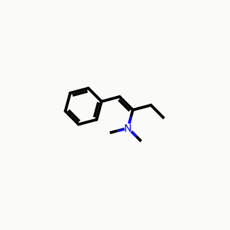 CCC(=Cc1ccccc1)N(C)C